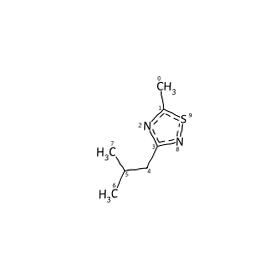 Cc1nc(CC(C)C)ns1